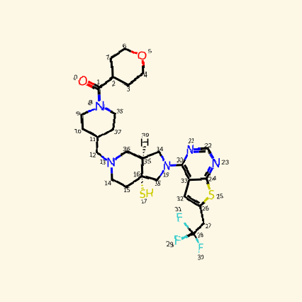 O=C(C1CCOCC1)N1CCC(CN2CC[C@]3(S)CN(c4ncnc5sc(CC(F)(F)F)cc45)C[C@@H]3C2)CC1